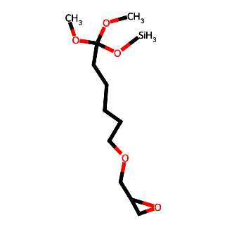 COC(CCCCCOCC1CO1)(OC)O[SiH3]